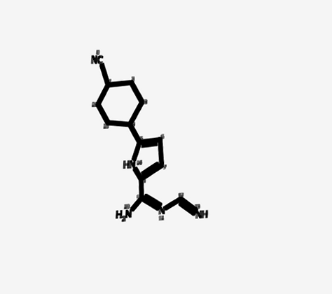 N#CC1CCC(c2ccc(/C(N)=N\C=N)[nH]2)CC1